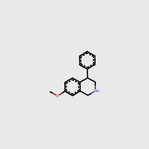 COc1ccc2c(c1)CNCC2c1ccccc1